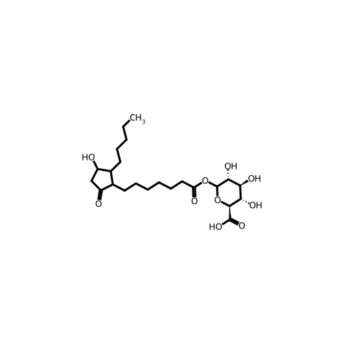 CCCCCC1C(O)CC(=O)C1CCCCCCC(=O)OC1O[C@H](C(=O)O)[C@@H](O)[C@H](O)[C@H]1O